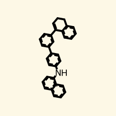 C1=C(c2cccc(-c3ccc(Nc4cccc5ccccc45)cc3)c2)c2ccccc2CC1